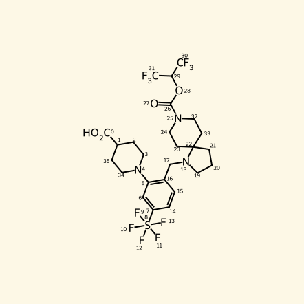 O=C(O)C1CCN(c2cc(S(F)(F)(F)(F)F)ccc2CN2CCCC23CCN(C(=O)OC(C(F)(F)F)C(F)(F)F)CC3)CC1